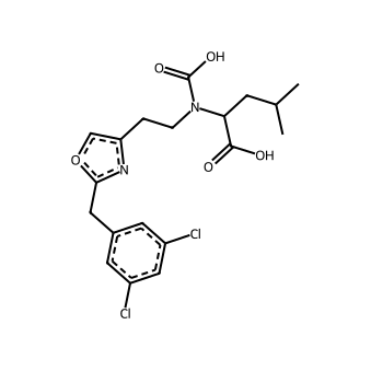 CC(C)CC(C(=O)O)N(CCc1coc(Cc2cc(Cl)cc(Cl)c2)n1)C(=O)O